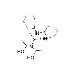 C1CCC(NC2CCCCC2)CC1.CC(O)N(C(C)O)C(C)O